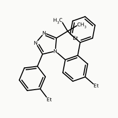 CCc1cccc(-c2nnc(C(C)(C)CC)n2-c2ccc(CC)cc2-c2ccccc2)c1